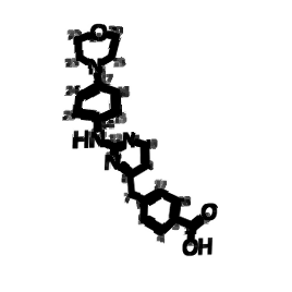 O=C(O)c1ccc(Cc2ccnc(Nc3ccc(N4CCOCC4)cc3)n2)cc1